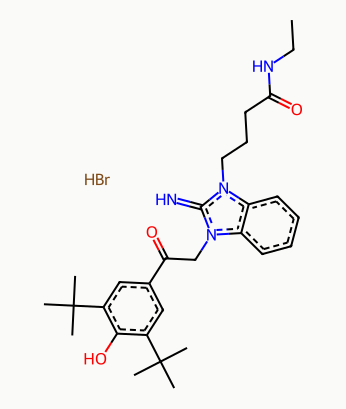 Br.CCNC(=O)CCCn1c(=N)n(CC(=O)c2cc(C(C)(C)C)c(O)c(C(C)(C)C)c2)c2ccccc21